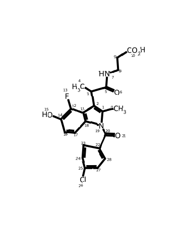 Cc1c(C(C)C(=O)NCCC(=O)O)c2c(F)c(O)ccc2n1C(=O)c1ccc(Cl)cc1